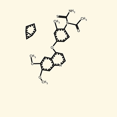 COc1cc2nccc(Oc3ccc(N(C(C)=O)C(N)=S)c(C)c3)c2cc1OC.c1cc2cc-2c1